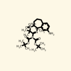 CC(C)(C)OC(=O)N(C(=O)OC(C)(C)C)C1=N[C@]2(C)c3cc(N)ccc3CCC[C@H]2S(=O)(=O)C1(C)C